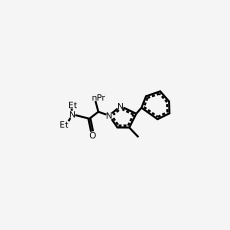 CCCC(C(=O)N(CC)CC)n1cc(C)c(-c2ccccc2)n1